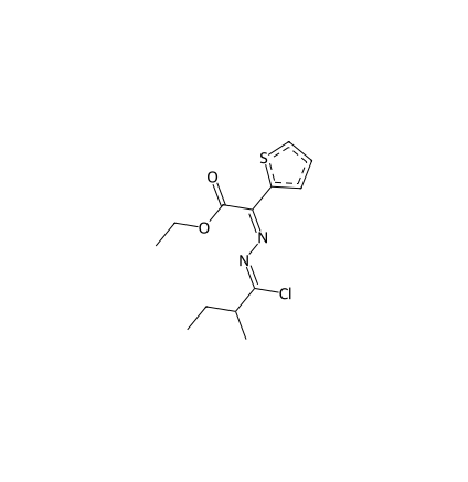 CCOC(=O)C(=NN=C(Cl)C(C)CC)c1cccs1